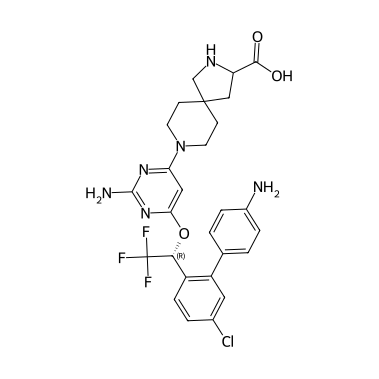 Nc1ccc(-c2cc(Cl)ccc2[C@@H](Oc2cc(N3CCC4(CC3)CNC(C(=O)O)C4)nc(N)n2)C(F)(F)F)cc1